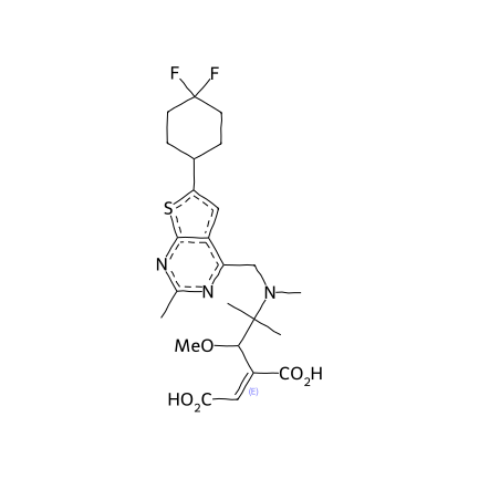 COC(/C(=C\C(=O)O)C(=O)O)C(C)(C)N(C)Cc1nc(C)nc2sc(C3CCC(F)(F)CC3)cc12